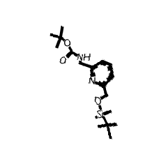 CC(C)(C)OC(=O)NCc1cccc(CO[Si](C)(C)C(C)(C)C)n1